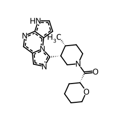 C[C@@H]1CCN(C(=O)[C@H]2CCCCO2)C[C@@H]1c1ncc2cnc3[nH]ccc3n12